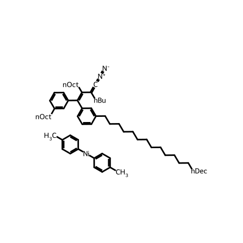 CCCCCCCCCCCCCCCCCCCCCCCc1cccc(C(=C(CCCCCCCC)C(=C=[N+]=[N-])CCCC)c2cccc(CCCCCCCC)c2)c1.Cc1cc[c]([Ni][c]2ccc(C)cc2)cc1